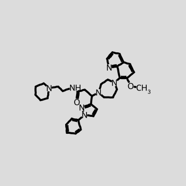 COc1ccc2cccnc2c1N1CCCN(C(CC(=O)NCCN2CCCCC2)c2ccn(-c3ccccc3)n2)CC1